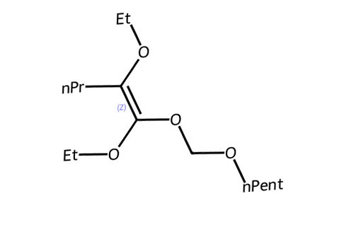 CCCCCOCO/C(OCC)=C(/CCC)OCC